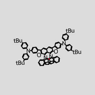 CC(C)(C)c1ccc(N(c2ccc(C(C)(C)C)cc2)c2ccc3c(c2)oc2c(-n4c5ccccc5c5ccccc54)c4c(-n5c6ccccc6c6ccccc65)c5oc6cc(N(c7ccc(C(C)(C)C)cc7)c7ccc(C(C)(C)C)cc7)ccc6c5cc4cc23)cc1